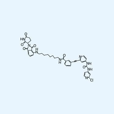 O=C1CCC(N2C(=O)c3cccc(NCCCCCCCCNC(=O)c4cccc(C#Cc5cc(NC(=O)Nc6ccnc(Cl)c6)ccn5)c4)c3C2=O)C(=O)N1